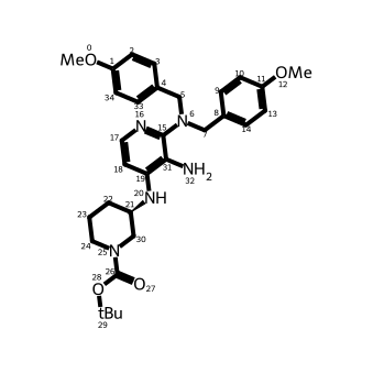 COc1ccc(CN(Cc2ccc(OC)cc2)c2nccc(N[C@@H]3CCCN(C(=O)OC(C)(C)C)C3)c2N)cc1